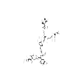 CCN(CCc1c2c(nc3cc4c(cc13)OCO4)-c1cc3c(c(=O)n1C2)COC(=O)[C@]3(O)CC)C(=O)OCc1ccc(NC(=O)[C@H](CCCCNC(=O)OC(C)(C)C)NC(=O)CCCCCn2cc(-c3cnc(SC)nc3)nn2)cc1